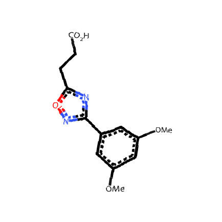 COc1cc(OC)cc(-c2noc(CCC(=O)O)n2)c1